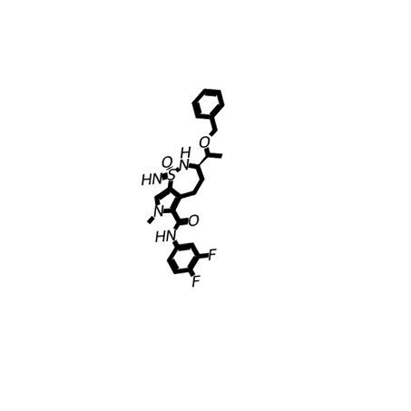 CC(OCc1ccccc1)[C@H]1CCc2c(cn(C)c2C(=O)Nc2ccc(F)c(F)c2)S(=N)(=O)N1